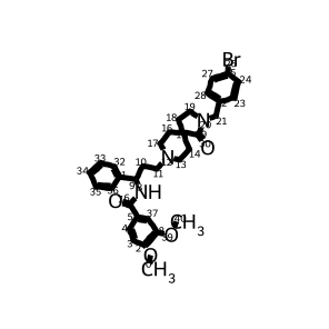 COc1ccc(C(=O)NC(CCN2CCC3(CC2)CCN(Cc2ccc(Br)cc2)C3=O)c2ccccc2)cc1OC